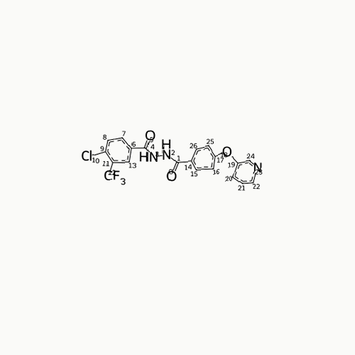 O=C(NNC(=O)c1ccc(Cl)c(C(F)(F)F)c1)c1ccc(Oc2cccnc2)cc1